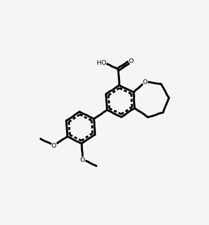 COc1ccc(-c2cc3c(c(C(=O)O)c2)OCCCC3)cc1OC